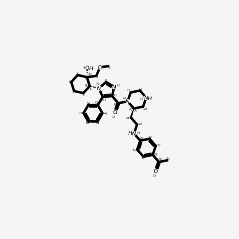 COC[C@]1(O)CCCC[C@H]1n1cnc(C(=O)N2CCNC[C@H]2CCNc2ccc(C(C)=O)cc2)c1-c1ccccc1